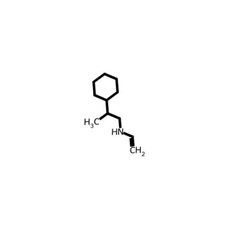 C=CNCC(C)C1CCCCC1